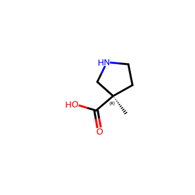 C[C@@]1(C(=O)O)CCNC1